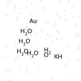 O.O.O.O.O.[Au].[KH]